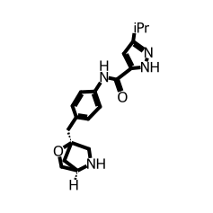 CC(C)c1cc(C(=O)Nc2ccc(C[C@@]34CN[C@@H](CO3)C4)cc2)[nH]n1